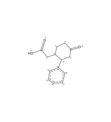 O=C(O)CC1CCC(=O)CC1c1ccccc1